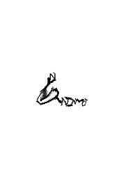 COCCCN1CCN(CC2CCN(CC3CN(C)C3)CC2)CC1